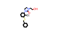 CCc1c(SCc2ccccc2)cccc1N1CCN(CCO)C1=O